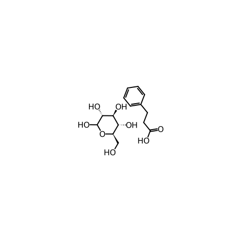 O=C(O)CCc1ccccc1.OC[C@H]1OC(O)[C@H](O)[C@@H](O)[C@@H]1O